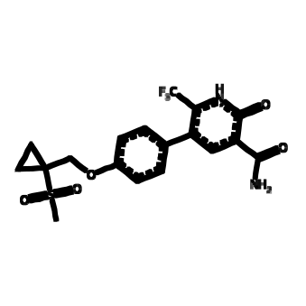 CS(=O)(=O)C1(COc2ccc(-c3cc(C(N)=O)c(=O)[nH]c3C(F)(F)F)cc2)CC1